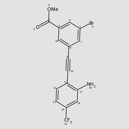 COC(=O)c1cc(Br)cc(C#Cc2ccc(C(F)(F)F)cc2N)c1